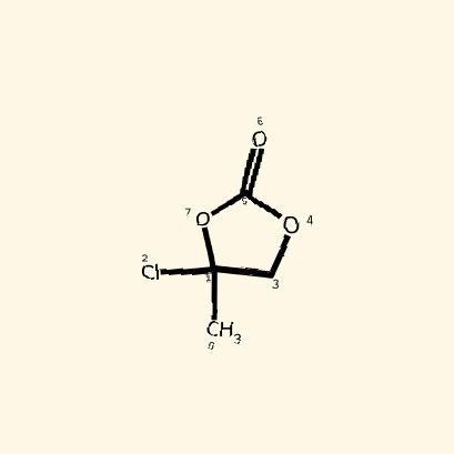 CC1(Cl)COC(=O)O1